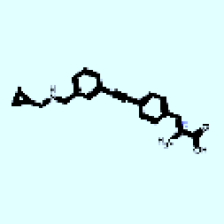 C/C(=C\c1ccc(C#Cc2cccc(CNCC3CC3)c2)cc1)C(=O)O